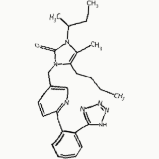 CCCCc1c(C)n(C(C)CC)c(=O)n1Cc1ccc(-c2ccccc2-c2nnn[nH]2)nc1